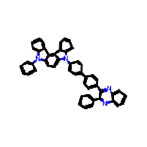 c1ccc(-c2nc3ccccc3nc2-c2ccc(-c3ccc(-n4c5ccccc5c5c6c7ccccc7n(-c7ccccc7)c6ccc54)cc3)cc2)cc1